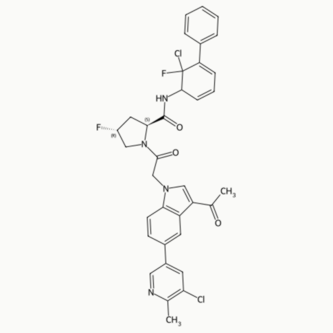 CC(=O)c1cn(CC(=O)N2C[C@H](F)C[C@H]2C(=O)NC2C=CC=C(c3ccccc3)C2(F)Cl)c2ccc(-c3cnc(C)c(Cl)c3)cc12